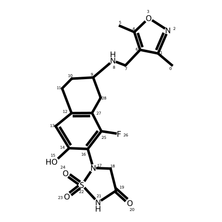 Cc1noc(C)c1CNC1CCc2cc(O)c(N3CC(=O)NS3(=O)=O)c(F)c2C1